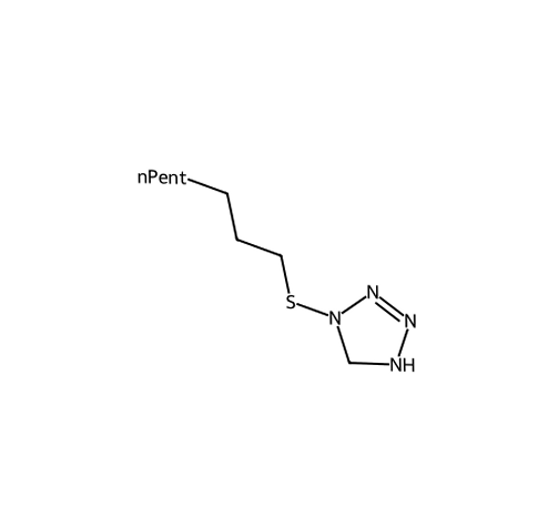 CCCCCCCCSN1CNN=N1